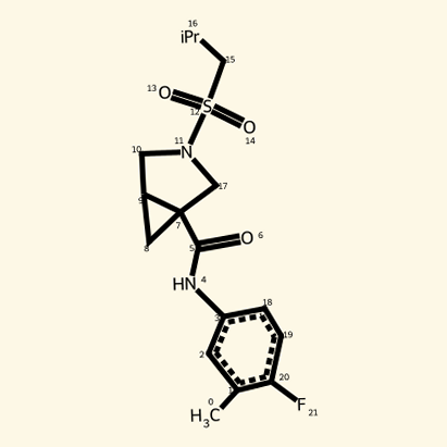 Cc1cc(NC(=O)C23CC2CN(S(=O)(=O)CC(C)C)C3)ccc1F